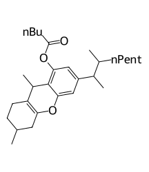 CCCCCC(C)C(C)c1cc(OC(=O)CCCC)c2c(c1)OC1=C(CCC(C)C1)C2C